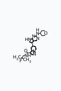 CC(C)(F)CNC(=O)c1cnn2ccc(-c3c[nH]c4nc(NC5CCOCC5)ncc34)cc12